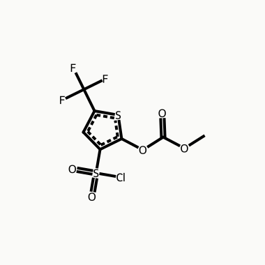 COC(=O)Oc1sc(C(F)(F)F)cc1S(=O)(=O)Cl